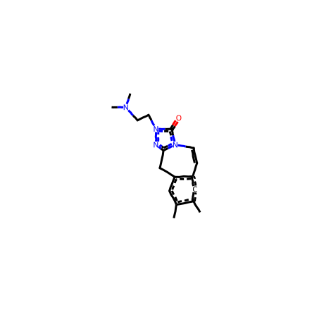 Cc1cc2c(cc1C)Cc1nn(CCN(C)C)c(=O)n1C=C2